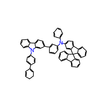 C1=CC(c2ccc(-n3c4ccccc4c4ccc(-c5cccc(N(c6ccccc6)c6ccc7c(c6)C6(c8ccccc8-c8ccccc86)c6ccccc6-7)c5)cc43)cc2)=CCC1